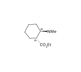 CCOC(=O)[C@@H]1CCCC[C@H]1NC